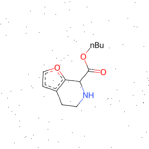 CCCCOC(=O)C1NCCc2ccoc21